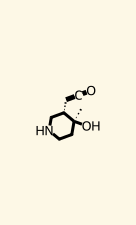 C[C@]1(O)CCNC[C@@H]1C=C=O